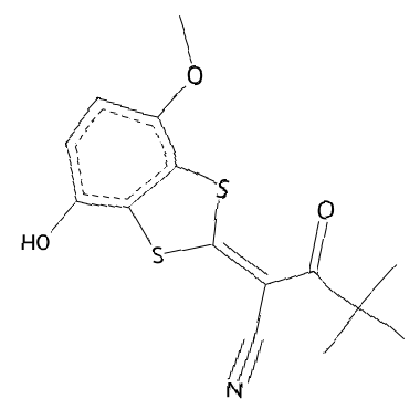 COc1ccc(O)c2c1S/C(=C(/C#N)C(=O)C(C)(C)C)S2